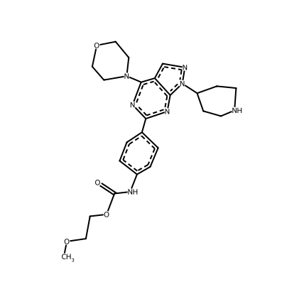 COCCOC(=O)Nc1ccc(-c2nc(N3CCOCC3)c3cnn(C4CCNCC4)c3n2)cc1